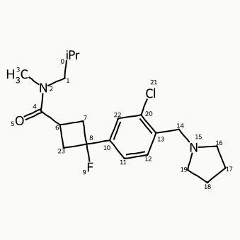 CC(C)CN(C)C(=O)C1CC(F)(c2ccc(CN3CCCC3)c(Cl)c2)C1